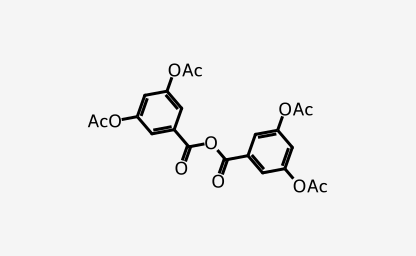 CC(=O)Oc1cc(OC(C)=O)cc(C(=O)OC(=O)c2cc(OC(C)=O)cc(OC(C)=O)c2)c1